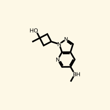 CBc1cnc2c(cnn2C2CC(C)(O)C2)c1